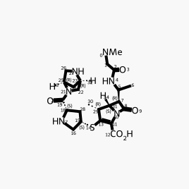 CNCC(=O)NC(C)[C@H]1C(=O)N2C(C(=O)O)=C(S[C@@H]3CN[C@H](C(=O)N4C[C@H]5C[C@@H]4CN5)C3)[C@H](C)[C@H]12